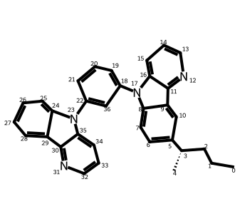 CCC[C@H](C)c1ccc2c(c1)c1ncccc1n2-c1cccc(-n2c3ccccc3c3ncccc32)c1